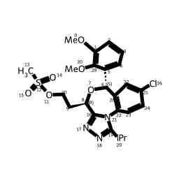 COc1cccc([C@H]2O[C@H](CCOS(C)(=O)=O)c3nnc(C(C)C)n3-c3ccc(Cl)cc32)c1OC